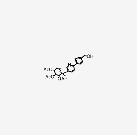 CC(=O)O[C@@H]1[C@@H](OC(C)=O)[C@H](OC(C)=O)CS[C@H]1Oc1ccc(-c2ccc(CO)cc2)nc1